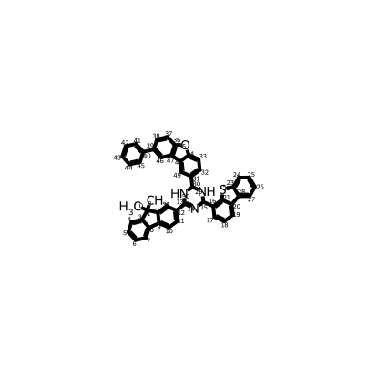 CC1(C)c2ccccc2-c2ccc(C3=NC(c4cccc5c4sc4ccccc45)NC(c4ccc5oc6ccc(-c7ccccc7)cc6c5c4)N3)cc21